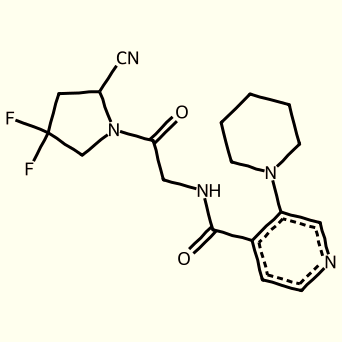 N#CC1CC(F)(F)CN1C(=O)CNC(=O)c1ccncc1N1CCCCC1